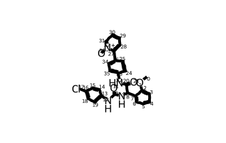 COc1ccccc1C(NC(=O)Nc1ccc(Cl)cc1)C(=O)Nc1ccc(-c2cccc[n+]2[O-])cc1